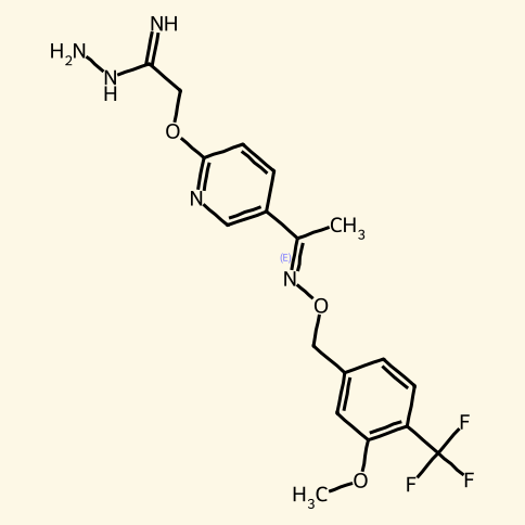 COc1cc(CO/N=C(\C)c2ccc(OCC(=N)NN)nc2)ccc1C(F)(F)F